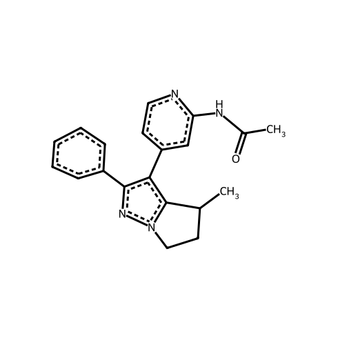 CC(=O)Nc1cc(-c2c(-c3ccccc3)nn3c2C(C)CC3)ccn1